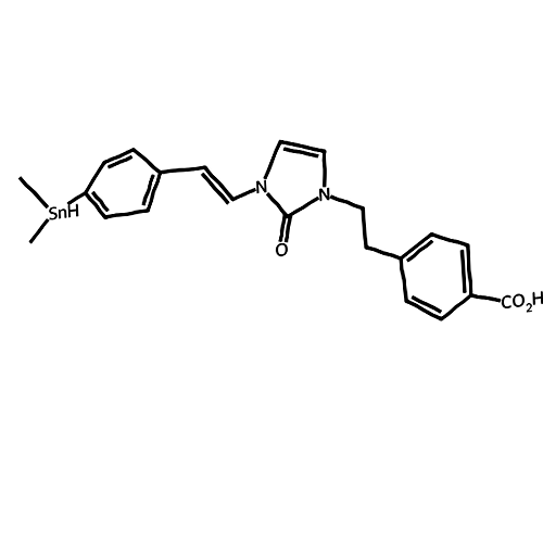 [CH3][SnH]([CH3])[c]1ccc(C=Cn2ccn(CCc3ccc(C(=O)O)cc3)c2=O)cc1